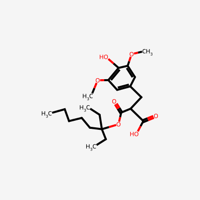 CCCCCC(CC)(CC)OC(=O)C(Cc1cc(OC)c(O)c(OC)c1)C(=O)O